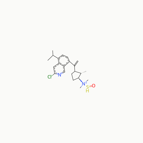 C=C(c1ccc(C(C)C)c2cc(Cl)ncc12)C1CC[C@H]([N+](C)(C)[SH]=O)[C@H]1C